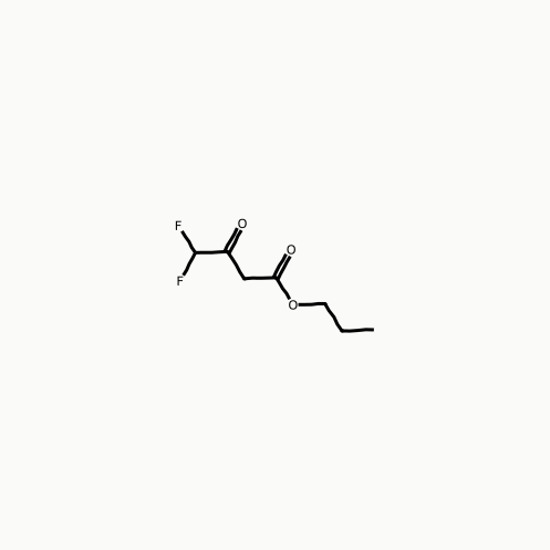 CCCOC(=O)CC(=O)C(F)F